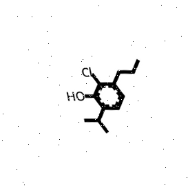 CCCc1ccc(C(C)C)c(O)c1Cl